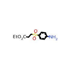 CCOC(=O)CCS(=O)(=O)c1ccc(N)cc1